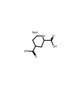 O=C(O)C1CCNC(C(=O)O)C1.[NaH]